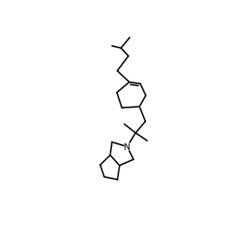 CC(C)CCC1=CCC(CC(C)(C)N2CC3CCCC3C2)CC1